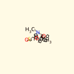 CCCCN(CCCCO[Si](c1ccccc1)(c1ccccc1)C(C)(C)C)c1ccc(C=Cc2ccc(C=O)s2)c(OCc2ccccc2)c1